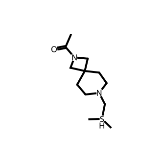 CC(=O)N1CC2(CCN(C[SH](C)C)CC2)C1